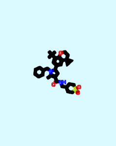 CC1=C(C(=O)NCC2CCS(=O)(=O)CC2)CC(c2cc(C(C)(C)C)c3c(c2)C2(CCO3)CC2)N1CC1CCCCC1